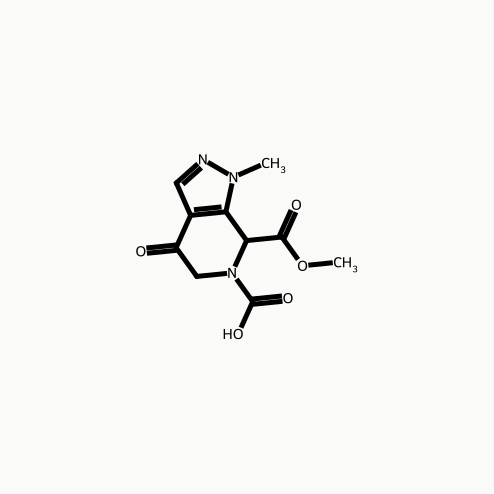 COC(=O)C1c2c(cnn2C)C(=O)CN1C(=O)O